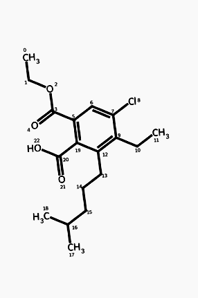 CCOC(=O)c1cc(Cl)c(CC)c(CCCC(C)C)c1C(=O)O